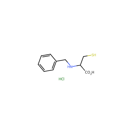 Cl.O=C(O)C(CS)NCc1ccccc1